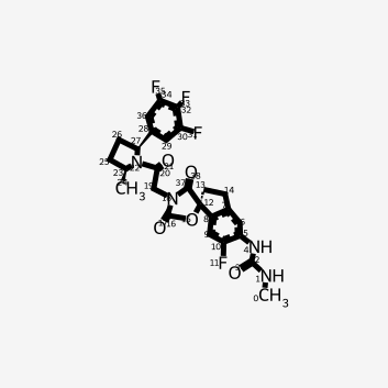 CNC(=O)Nc1cc2c(cc1F)[C@@]1(CC2)OC(=O)N(CC(=O)N2[C@@H](C)CC[C@H]2c2cc(F)c(F)c(F)c2)C1=O